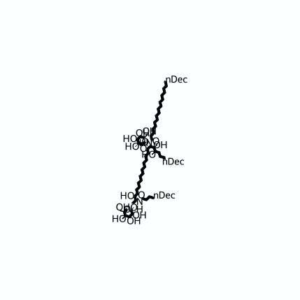 CCCCCCCCCCCCCCCCCCCCCCCCCCCC(=O)N[C@H](C(CCCCCCCCCCCCCC(O)C(CO[C@H]1O[C@H](CO)[C@H](O)[C@H](O)[C@H]1O)NC(=O)CCCCCCCCCCCCC)O[C@H]1O[C@H](CO)[C@H](O)[C@H](O)[C@H]1O)[C@@H](O)[C@H](O)CCCCCCCCCCCCC